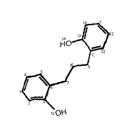 Oc1ccccc1CCCc1ccccc1O